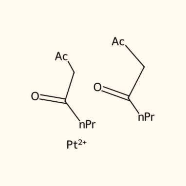 CCCC(=O)CC(C)=O.CCCC(=O)CC(C)=O.[Pt+2]